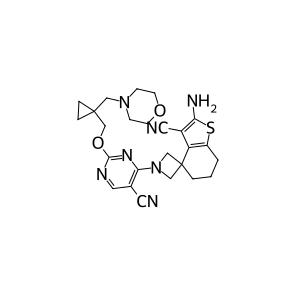 N#Cc1cnc(OCC2(CN3CCOCC3)CC2)nc1N1CC2(CCCc3sc(N)c(C#N)c32)C1